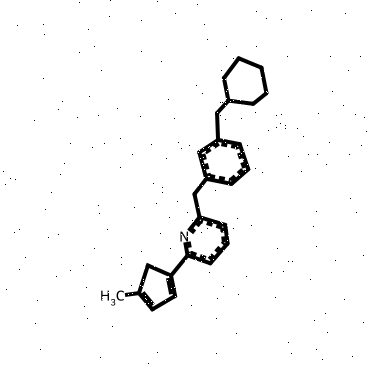 CC1=CC=C(c2cccc(Cc3cccc(CC4CCCCC4)c3)n2)C1